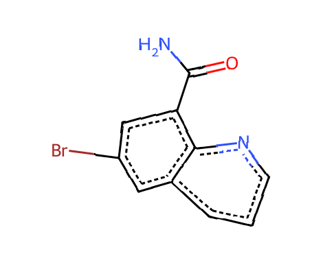 NC(=O)c1cc(Br)cc2cccnc12